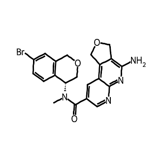 CN(C(=O)c1cnc2nc(N)c3c(c2c1)COC3)[C@H]1COCc2cc(Br)ccc21